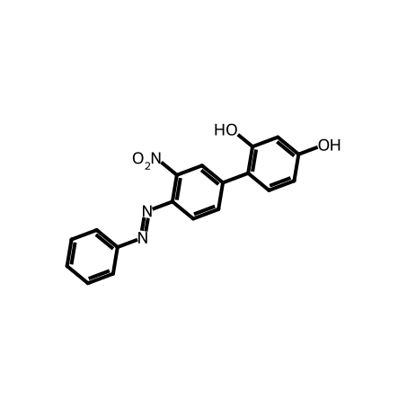 O=[N+]([O-])c1cc(-c2ccc(O)cc2O)ccc1/N=N/c1ccccc1